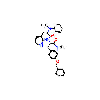 CN(C1C=CCCC1)C(Cc1cccnc1)C(=O)NC(Cc1ccc(OCc2ccccc2)cc1)C(=O)NC(C)(C)C